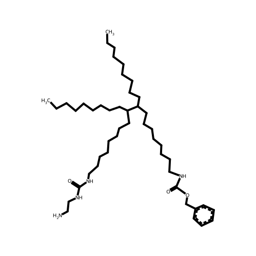 CCCCCCCCCC(CCCCCCCCNC(=O)NCCN)C(CCCCCCCCC)CCCCCCCCNC(=O)OCc1ccccc1